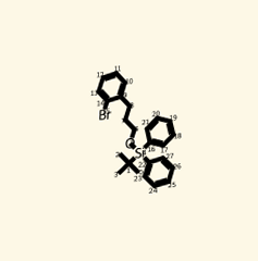 CC(C)(C)[Si](OCCCc1ccccc1Br)(c1ccccc1)c1ccccc1